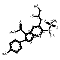 CNC(=O)c1c(-c2ccc(C)cc2)oc2nc(N(C)S(C)(=O)=O)c(CC(O)CO)cc12